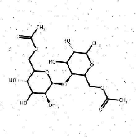 CC(=O)OCC1O[C@@H](O[C@@H]2C(COC(C)=O)OC(C)[C@@H](O)C2O)[C@@H](O)C(O)[C@@H]1O